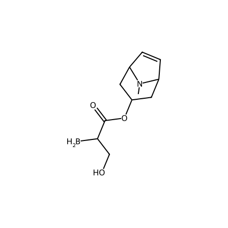 BC(CO)C(=O)OC1CC2C=CC(C1)N2C